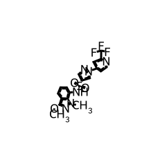 COc1nn(C)c2c(NS(=O)(=O)c3cnn(-c4ccnc(C(F)(F)F)c4)c3)cccc12